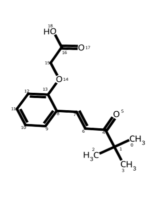 CC(C)(C)C(=O)C=Cc1ccccc1OCC(=O)O